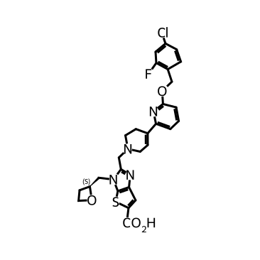 O=C(O)c1cc2nc(CN3CC=C(c4cccc(OCc5ccc(Cl)cc5F)n4)CC3)n(C[C@@H]3CCO3)c2s1